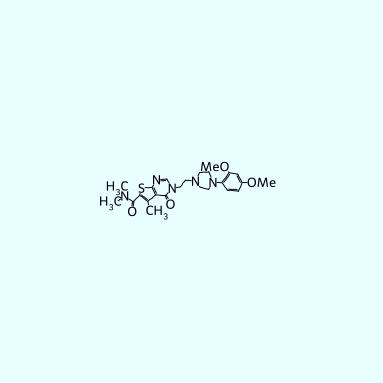 COc1ccc(N2CCN(CCn3cnc4sc(C(=O)N(C)C)c(C)c4c3=O)CC2)c(OC)c1